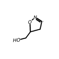 OCC1C[C]=NO1